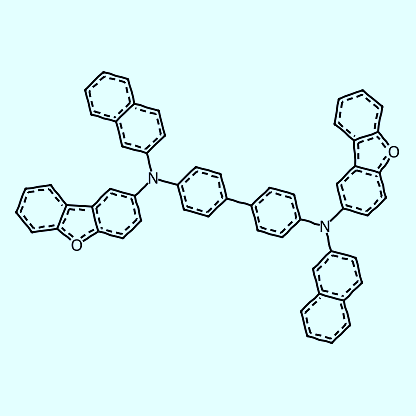 c1ccc2cc(N(c3ccc(-c4ccc(N(c5ccc6ccccc6c5)c5ccc6oc7ccccc7c6c5)cc4)cc3)c3ccc4oc5ccccc5c4c3)ccc2c1